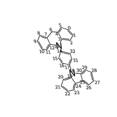 c1ccc2c(c1)Cc1ccccc1N2c1ccc(-n2c3ccccc3c3ccccc32)cc1